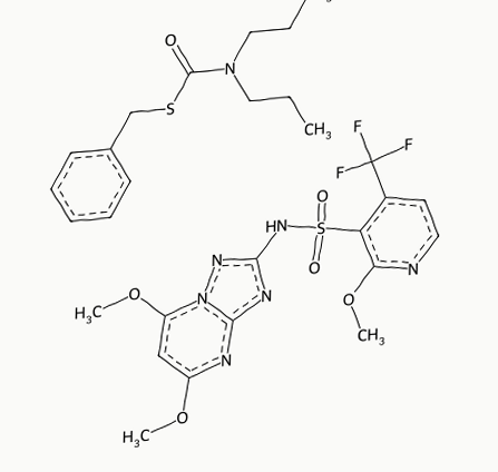 CCCN(CCC)C(=O)SCc1ccccc1.COc1cc(OC)n2nc(NS(=O)(=O)c3c(C(F)(F)F)ccnc3OC)nc2n1